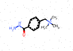 C[N+](C)(C)Cc1ccc(C(=O)NN)cc1